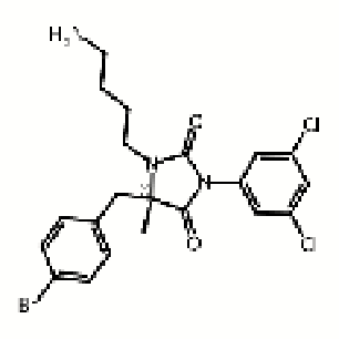 C[C@]1(Cc2ccc(Br)cc2)C(=O)N(c2cc(Cl)cc(Cl)c2)C(=O)N1CCCCN